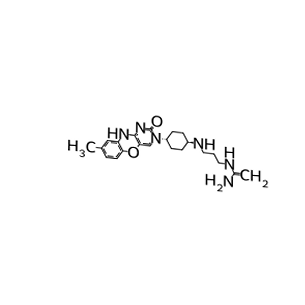 C=C(N)NCCCN[C@H]1CC[C@H](n2cc3c(nc2=O)Nc2cc(C)ccc2O3)CC1